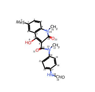 CSc1ccc2c(c1)c(O)c(C(=O)N(C)c1ccc(NC=O)cc1)c(=O)n2C